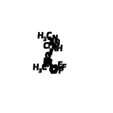 CCc1ncnc(NCCOc2cc(-c3cccc(C(F)(F)F)c3)n(C)n2)c1Cl